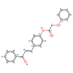 O=C(COc1ccccc1)Oc1ccc(C=CC(=O)c2ccccc2)cc1